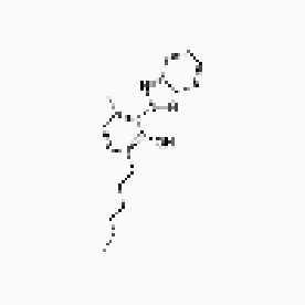 CCCCCCc1ccc(C)c(-n2nc3ccccc3n2)c1O